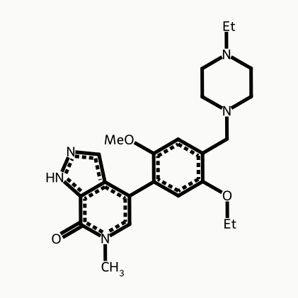 CCOc1cc(-c2cn(C)c(=O)c3[nH]ncc23)c(OC)cc1CN1CCN(CC)CC1